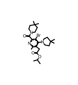 Cc1nc(C(=O)N2CCC(C)(C)CC2)c(Br)c(N2CCC(C)(C)CC2)c1CC(=O)OC(C)C